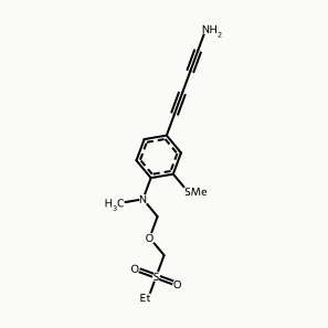 CCS(=O)(=O)COCN(C)c1ccc(C#CC#CN)cc1SC